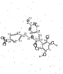 COc1cc(OC)c(Cl)c(-c2cc3cnc(SC)nc3n(CCc3ccc([N+](=O)[O-])cc3)c2=O)c1Cl